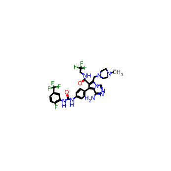 CN1CCN(Cc2c(C(=O)NCC(F)(F)F)c(-c3ccc(NC(=O)Nc4cc(C(F)(F)F)ccc4F)cc3)c3c(N)nncn23)CC1